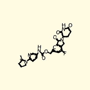 C[C@@H]1CCCN1c1ccc(NC(=O)OCc2cc(F)c3c(c2)C(=O)N(C2CCC(=O)NC2=O)C3)cn1